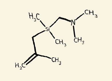 C=C(C)C[Si](C)(C)CN(C)C